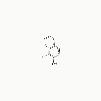 [O]c1c(O)ccc2ccccc12